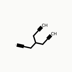 [C]#CCC(CC#C)CC#C